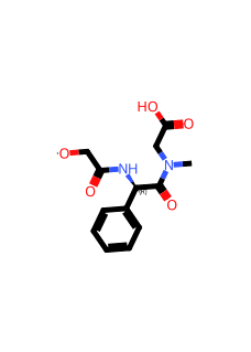 CN(CC(=O)O)C(=O)[C@H](NC(=O)C[O])c1ccccc1